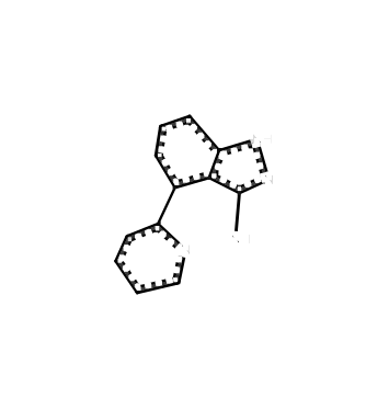 Nc1n[nH]c2cc[c]c(-c3ccccn3)c12